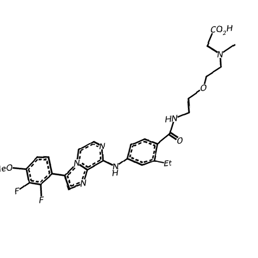 CCc1cc(Nc2nccn3c(-c4ccc(OC)c(F)c4F)cnc23)ccc1C(=O)NCCOCCN(C)CC(=O)O